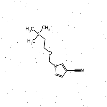 C[Si](C)(C)CCOCn1ccc(C#N)c1